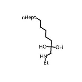 CCCCCCCCCCCCC(O)(O)CNCC